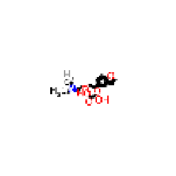 CCN(CC)CCOCCc1ccc2occc2c1.O=C(O)C(=O)O